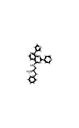 NC(CNc1nc(-c2ccncc2)nc2c(-c3ccoc3)nccc12)Cc1ccccc1